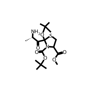 COC(=O)C1CSC(OC(C)(C)C)(C(=O)[C@H](C)N)N1C(=O)OC(C)(C)C